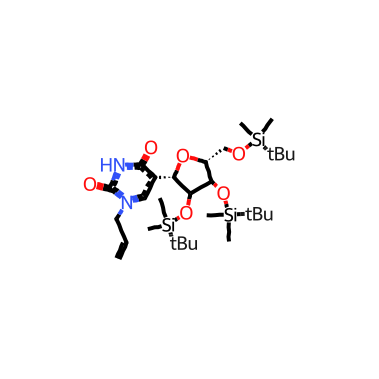 C=CCn1cc([C@@H]2O[C@H](CO[Si](C)(C)C(C)(C)C)C(O[Si](C)(C)C(C)(C)C)C2O[Si](C)(C)C(C)(C)C)c(=O)[nH]c1=O